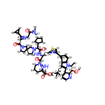 CCn1c(-c2cccnc2[C@H](C)OC)c2c3cc(ccc31)-c1csc(n1)C[C@H](NC(=O)C(C1CCCC1)N1CC[C@]3(CCN(C(=O)[C@H]4C(C5CC5)N4CC(=O)N(C)C)C3)C1)C(=O)N1CCC[C@H](N1)C(=O)OCC(C)(C)C2